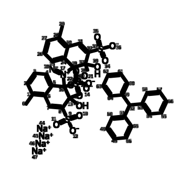 Cc1cccc2c1C=C(S(=O)(=O)[O-])C(C)(O)C2([N+](=[N-])C1(S(=O)(=O)[O-])c2cccc(C)c2C=C(S(=O)(=O)[O-])C1(C)O)S(=O)(=O)[O-].[Na+].[Na+].[Na+].[Na+].c1ccc(C(c2ccccc2)c2ccccc2)cc1